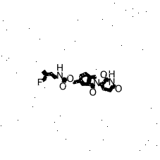 C=C(CF)CCNC(=O)OCc1ccc2c(c1)C(=O)N(C1CCC(=O)NC1=O)C2